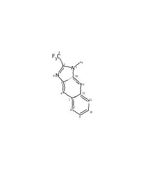 Cn1c(C(F)(F)F)nc2cc3ccccc3cc21